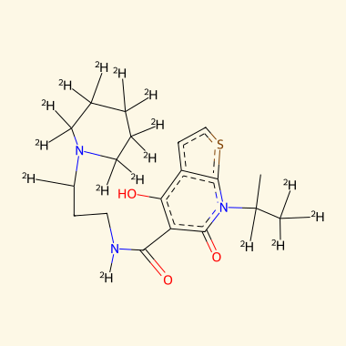 [2H]C(CCN([2H])C(=O)c1c(O)c2ccsc2n(C([2H])(C)C([2H])([2H])[2H])c1=O)N1C([2H])([2H])C([2H])([2H])C([2H])([2H])C([2H])([2H])C1([2H])[2H]